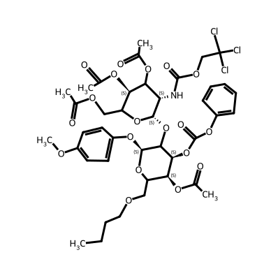 CCCCOCC1O[C@@H](Oc2ccc(OC)cc2)C(O[C@@H]2OC(COC(C)=O)[C@@H](OC(C)=O)C(OC(C)=O)[C@@H]2NC(=O)OCC(Cl)(Cl)Cl)[C@@H](OC(=O)Oc2ccccc2)[C@H]1OC(C)=O